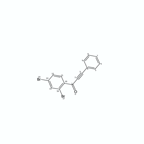 O=C(C#Cc1ccccc1)c1ccc(Br)cc1Br